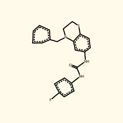 O=C(Nc1ccc(F)cc1)Nc1ccc2c(c1)N(Cc1ccccc1)CCS2